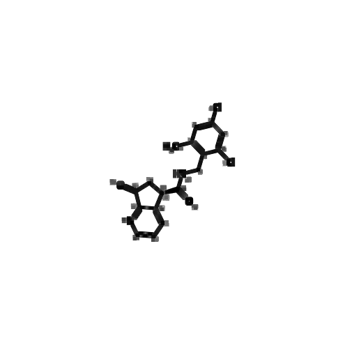 Cc1cc(Cl)cc(Cl)c1CNC(=O)[C@@H]1CC(=O)c2ncccc21